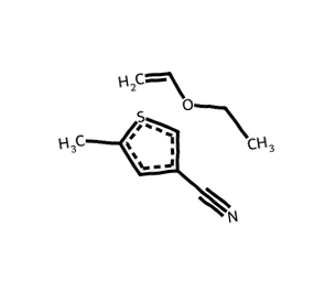 C=COCC.Cc1cc(C#N)cs1